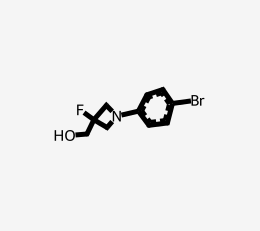 OCC1(F)CN(c2ccc(Br)cc2)C1